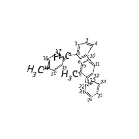 Cc1ccccc1.Cc1ccccc1.Cc1ccccc1.c1ccccc1